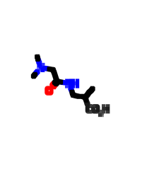 CC(CNC(=O)CN(C)C)C(=O)O